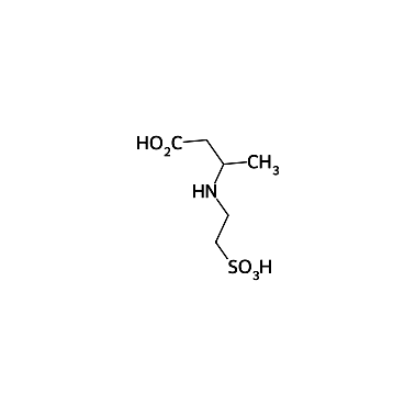 CC(CC(=O)O)NCCS(=O)(=O)O